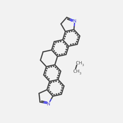 C1=Nc2ccc3cc4c(cc3c2C1)CCc1cc2c3c(ccc2cc1-4)N=CC3.CC